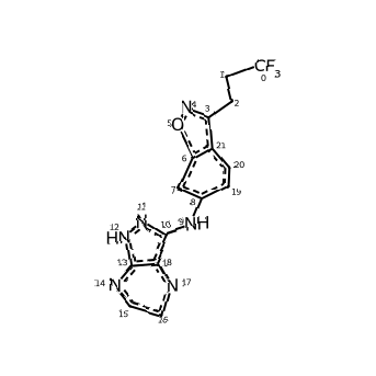 FC(F)(F)CCc1noc2cc(Nc3n[nH]c4nccnc34)ccc12